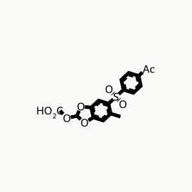 CC(=O)c1ccc(S(=O)(=O)c2cc3c(cc2C)OC(OC(=O)O)O3)cc1